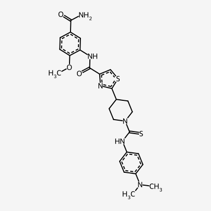 COc1ccc(C(N)=O)cc1NC(=O)c1csc(C2CCN(C(=S)Nc3ccc(N(C)C)cc3)CC2)n1